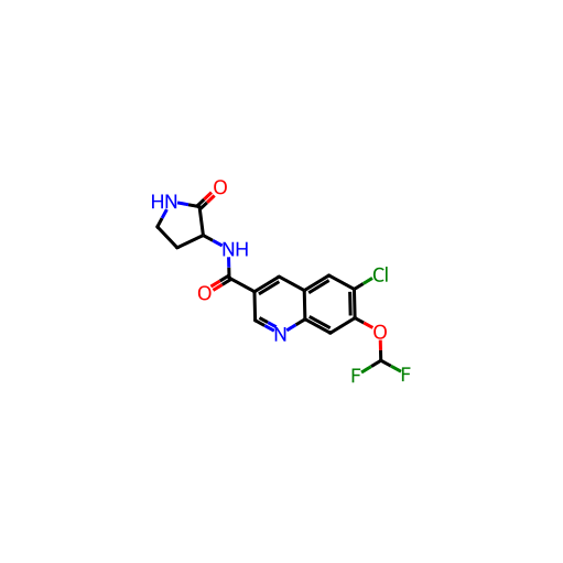 O=C(NC1CCNC1=O)c1cnc2cc(OC(F)F)c(Cl)cc2c1